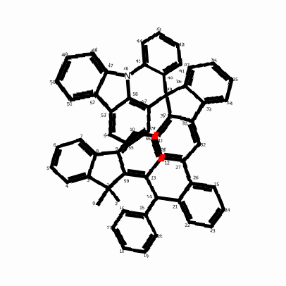 CC1(C)c2ccccc2-c2cccc(C(c3ccccc3)c3ccccc3-c3ccc4c(c3)-c3ccccc3C43c4ccccc4-n4c5ccccc5c5cccc3c54)c21